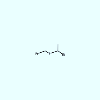 [CH2]CC(C)SCC(C)C